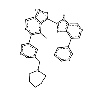 Fc1c(-c2cncc(CN3CCCCC3)c2)ncc2[nH]nc(-c3nc4c(-c5cccnc5)cncc4[nH]3)c12